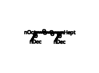 CCCCCCC/C=C/C(CCCCCCCC(=O)OCCCCCCOC(=O)CCCCCC/C=C/C(CCCCCCCC)COC(=O)CCCCCCCCCCCCCCCCC)COC(=O)CCCCCCCCCCCCCCCCC